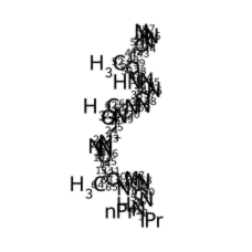 CCCN(CC(C)C)c1cc2c(Nc3ccc(Cc4ccn5c(c4)nc[n+]5C/C=C/C(=O)N4CCN(c5cc6c(Nc7ccc(Cc8ccn9ncnc9c8)c(C)c7)ncnc6cn5)C[C@H]4C)c(C)c3)ncnc2cn1